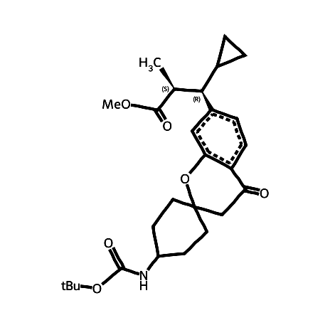 COC(=O)[C@@H](C)[C@H](c1ccc2c(c1)OC1(CCC(NC(=O)OC(C)(C)C)CC1)CC2=O)C1CC1